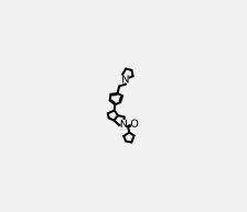 O=C(C1CCCC1)N1CC2CCC(c3ccc(CCN4CCCC4)cc3)C2C1